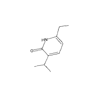 CCc1ccc(C(C)C)c(=O)[nH]1